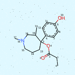 CCC(=O)OC1(c2ccc(O)cc2)CCCN(C)CC1C